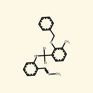 CCC(CC)(Pc1ccccc1/C=N/C)c1cccc(C)c1OCc1ccccc1